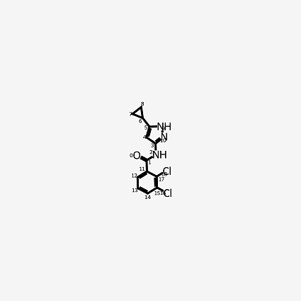 O=C(Nc1cc(C2CC2)[nH]n1)c1cccc(Cl)c1Cl